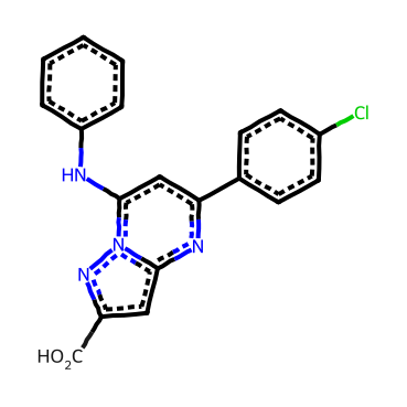 O=C(O)c1cc2nc(-c3ccc(Cl)cc3)cc(Nc3ccccc3)n2n1